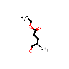 CCOC(=O)CC[C@@H](C)CO